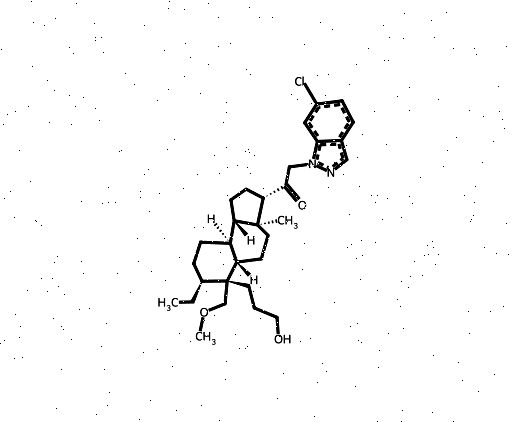 CC[C@H]1CC[C@H]2[C@@H]3CC[C@H](C(=O)Cn4ncc5ccc(Cl)cc54)[C@@]3(C)CC[C@@H]2[C@]1(CCCO)COC